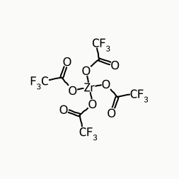 O=C([O][Zr]([O]C(=O)C(F)(F)F)([O]C(=O)C(F)(F)F)[O]C(=O)C(F)(F)F)C(F)(F)F